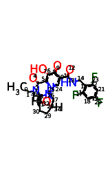 CCN1C(=O)c2c(O)c(=O)c(C(=O)NCc3c(F)cc(F)cc3F)cn2N2C[C@@H]3CC[C@@H](O3)[C@@H]12